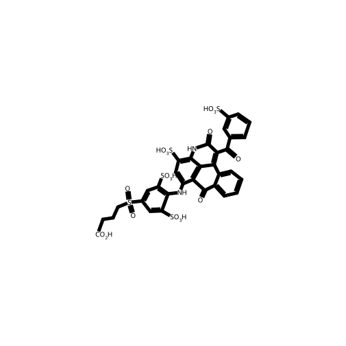 O=C(O)CCCS(=O)(=O)c1cc(S(=O)(=O)O)c(Nc2cc(S(=O)(=O)O)c3[nH]c(=O)c(C(=O)c4cccc(S(=O)(=O)O)c4)c4c3c2C(=O)c2ccccc2-4)c(S(=O)(=O)O)c1